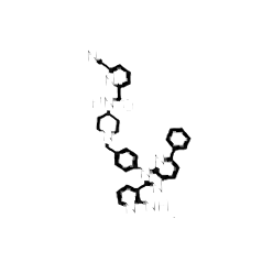 N#Cc1cccc(C(=O)NC2CCN(Cc3ccc(-n4c(-c5cccnc5N)nc5ccc(-c6ccccc6)nc54)cc3)CC2)n1